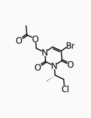 CC(=O)OCn1cc(Br)c(=O)n([C@@H](C)CCl)c1=O